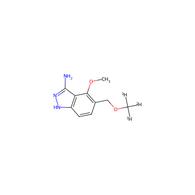 [2H]C([2H])([2H])OCc1ccc2[nH]nc(N)c2c1OC